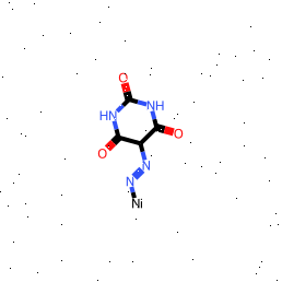 O=C1NC(=O)C(N=[N][Ni])C(=O)N1